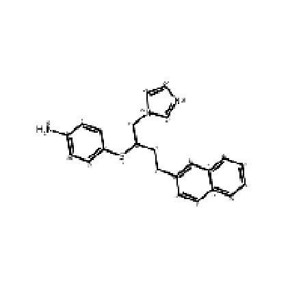 Nc1ccc(SC(CCc2ccc3ccccc3c2)Cn2ccnc2)cc1